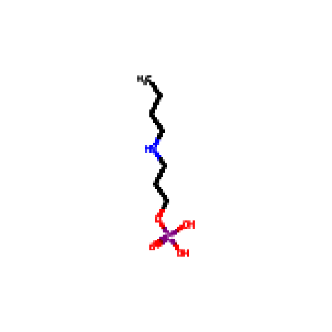 CCCCNCCCOP(=O)(O)O